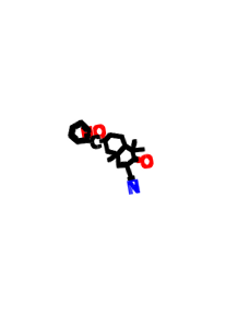 CC12C=C(C#N)C(=O)C(C)(C)C1CC[C@@](O)(Cc1ccccc1)C2